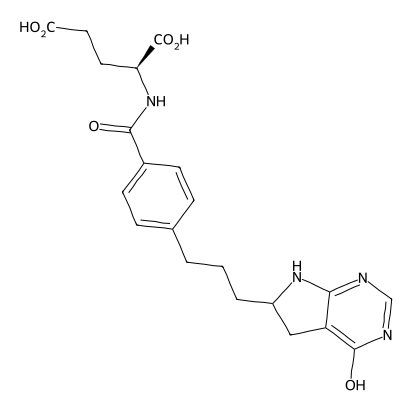 O=C(O)CC[C@H](NC(=O)c1ccc(CCCC2Cc3c(O)ncnc3N2)cc1)C(=O)O